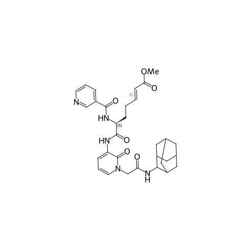 COC(=O)/C=C/CC[C@H](NC(=O)c1cccnc1)C(=O)Nc1cccn(CC(=O)NC2C3CC4CC(C3)CC2C4)c1=O